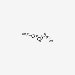 O=C(O)Cc1ccc(Oc2ccnc3cc(C(=O)N4CC[C@@H](O)C4)sc23)cc1